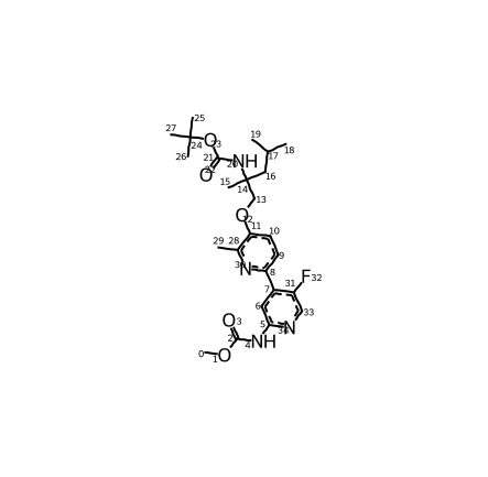 COC(=O)Nc1cc(-c2ccc(OCC(C)(CC(C)C)NC(=O)OC(C)(C)C)c(C)n2)c(F)cn1